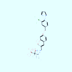 CC1(C(=O)O)CN(CC2=Cc3ccc(OCc4ccc(-n5cccc5)c(C(F)(F)F)c4)cc3OC2)C1